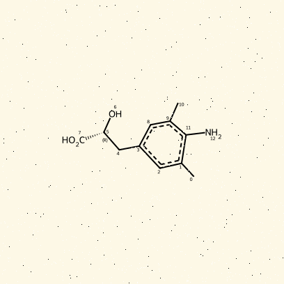 Cc1cc(C[C@@H](O)C(=O)O)cc(C)c1N